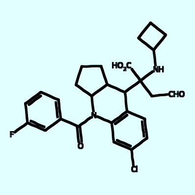 O=CCC(NC1CCC1)(C(=O)O)C1c2ccc(Cl)cc2N(C(=O)c2cccc(F)c2)C2CCCC21